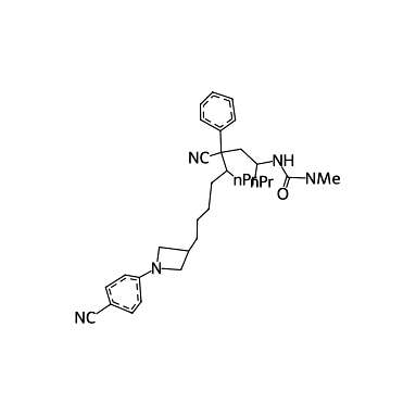 CCCC(CC(C#N)(c1ccccc1)C(CCC)CCCCC1CN(c2ccc(C#N)cc2)C1)NC(=O)NC